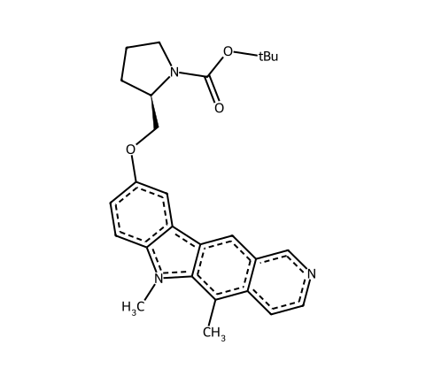 Cc1c2ccncc2cc2c3cc(OC[C@H]4CCCN4C(=O)OC(C)(C)C)ccc3n(C)c12